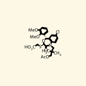 COc1cccc([C@H]2O[C@H](SCC(=O)O)C(=O)N(CC(C)(C)COC(C)=O)c3ccc(Cl)cc32)c1OC